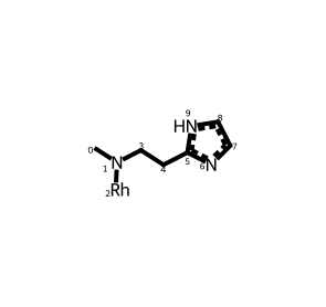 C[N]([Rh])CCc1ncc[nH]1